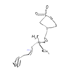 C[Si](C)(/C=C/C#N)OC1COS(=O)(=O)C1